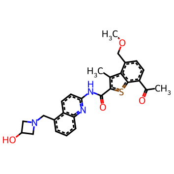 COCc1ccc(C(C)=O)c2sc(C(=O)Nc3ccc4c(CN5CC(O)C5)cccc4n3)c(C)c12